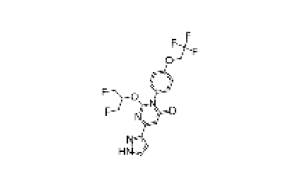 O=c1cc(-c2cc[nH]n2)nc(OC(CF)CF)n1-c1ccc(OCC(F)(F)F)cc1